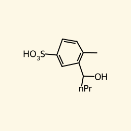 CCCC(O)c1cc(S(=O)(=O)O)ccc1C